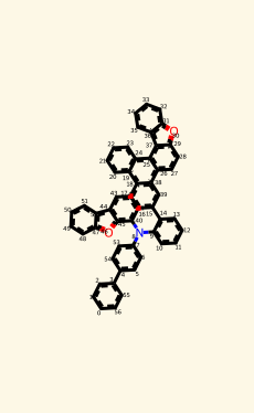 c1ccc(-c2ccc(N(c3ccccc3-c3ccc4c5ccccc5c5c(ccc6oc7ccccc7c65)c4c3)c3cccc4c3oc3ccccc34)cc2)cc1